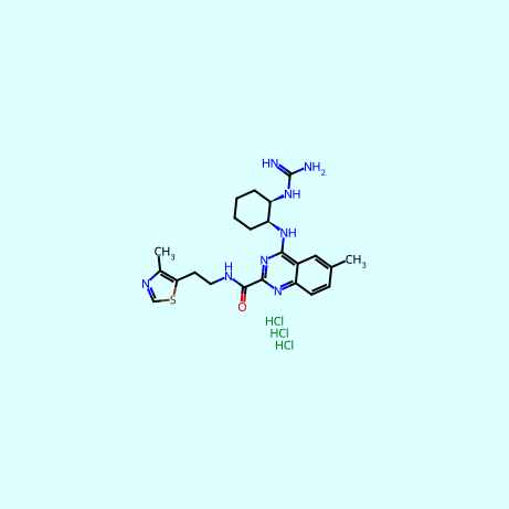 Cc1ccc2nc(C(=O)NCCc3scnc3C)nc(N[C@H]3CCCC[C@H]3NC(=N)N)c2c1.Cl.Cl.Cl